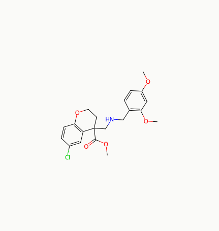 COC(=O)C1(CNCc2ccc(OC)cc2OC)CCOc2ccc(Cl)cc21